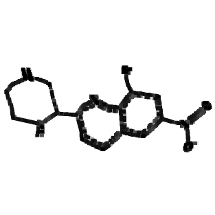 O=[N+]([O-])c1cc(Br)c2nc(C3CNCCN3)ccc2c1